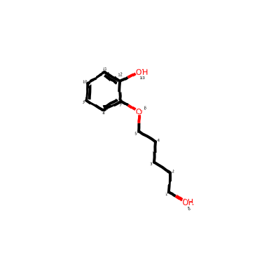 OCCCCCOc1ccccc1O